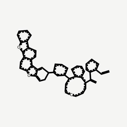 C=Cc1ccccc1C(=C)c1ccccccc(-c2cccc(C3C=c4c(oc5ccc6c(ccc7c8ccccc8oc76)c45)=CC3)c2)c2ccccc12